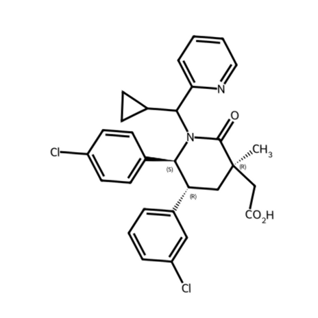 C[C@]1(CC(=O)O)C[C@H](c2cccc(Cl)c2)[C@@H](c2ccc(Cl)cc2)N(C(c2ccccn2)C2CC2)C1=O